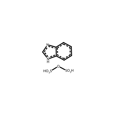 O=S(=O)(O)OS(=O)(=O)O.c1ccc2[nH]cnc2c1